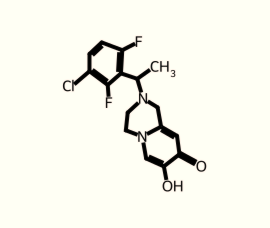 CC(c1c(F)ccc(Cl)c1F)N1CCn2cc(O)c(=O)cc2C1